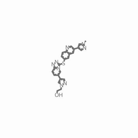 Cn1cc(-c2cnc3ccc(Sc4nnc5ccc(-c6cnn(CCO)c6)cn45)cc3c2)cn1